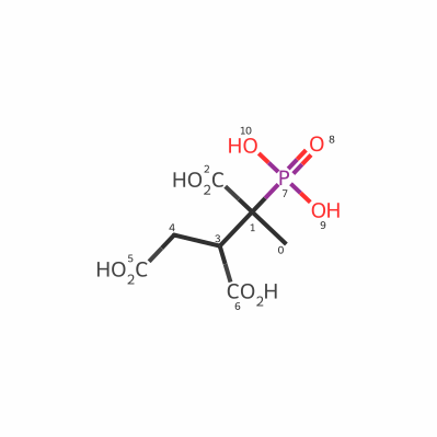 CC(C(=O)O)(C(CC(=O)O)C(=O)O)P(=O)(O)O